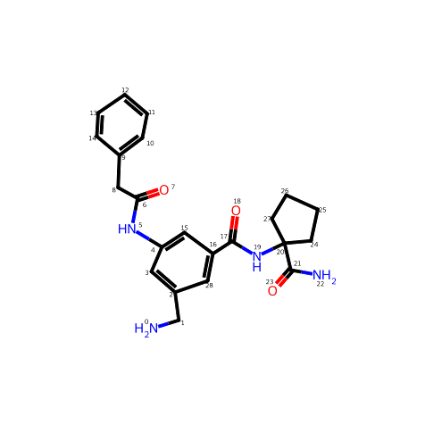 NCc1cc(NC(=O)Cc2ccccc2)cc(C(=O)NC2(C(N)=O)CCCC2)c1